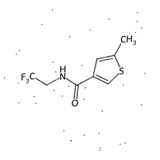 Cc1cc(C(=O)NCC(F)(F)F)cs1